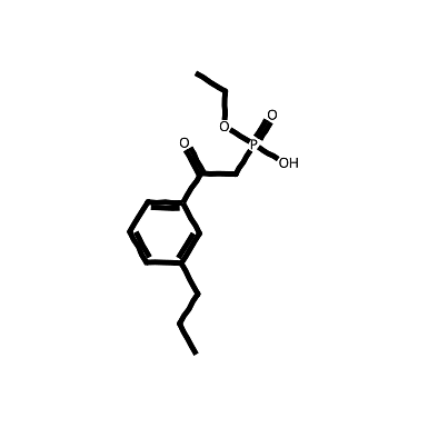 CCCc1cccc(C(=O)CP(=O)(O)OCC)c1